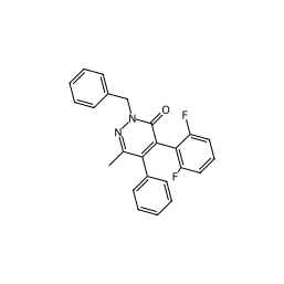 Cc1nn(Cc2ccccc2)c(=O)c(-c2c(F)cccc2F)c1-c1ccccc1